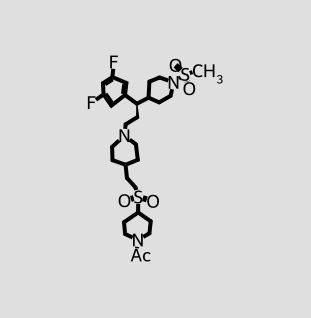 CC(=O)N1CCC(S(=O)(=O)CCC2CCN(CC[C@@H](c3cc(F)cc(F)c3)C3CCN(S(C)(=O)=O)CC3)CC2)CC1